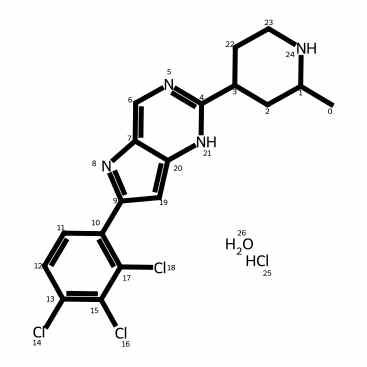 CC1CC(c2ncc3nc(-c4ccc(Cl)c(Cl)c4Cl)cc-3[nH]2)CCN1.Cl.O